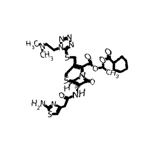 CC(OC(=O)C1=C(CSc2nnnn2CCN(C)C)CS[C@@H]2[C@H](NC(=O)Cc3csc(N)n3)C(=O)N12)OC(=O)C1CCCCC1